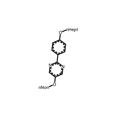 CCCCCCCCCOc1cnc(-c2ccc(OCCCCCCC)cc2)nc1